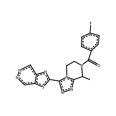 CC1c2nnc(-c3nc4cnncc4s3)n2CCN1C(=O)c1ccc(F)cc1